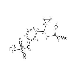 COC(=O)C[C@H](c1cccc(OS(=O)(=O)C(F)(F)F)c1)C1CC1